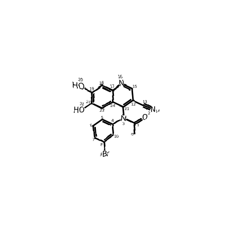 CC(=O)N(c1cccc(Br)c1)c1c(C#N)cnc2cc(O)c(O)cc12